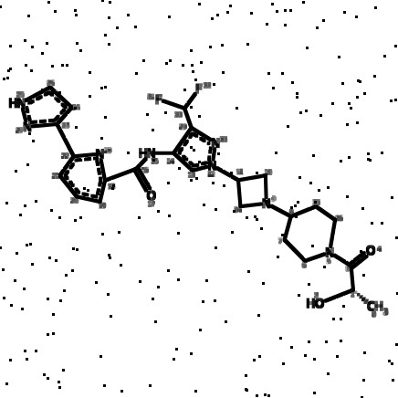 C[C@H](O)C(=O)N1CCC(N2CC(n3cc(NC(=O)c4cccc(-c5cc[nH]n5)n4)c(C(F)F)n3)C2)CC1